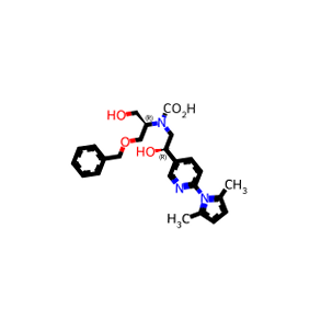 Cc1ccc(C)n1-c1ccc([C@@H](O)CN(C(=O)O)[C@H](CO)COCc2ccccc2)cn1